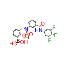 O=C(Nc1cc(F)c(F)c(F)c1)c1cccc(N(Cc2cccc(B(O)O)c2)[SH](=O)=O)c1